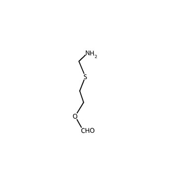 NCSCCOC=O